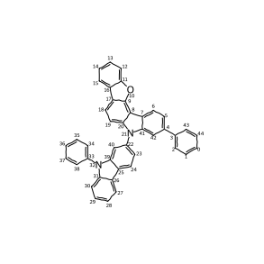 c1ccc(-c2ccc3c4c5oc6ccccc6c5ccc4n(-c4ccc5c6ccccc6n(-c6ccccc6)c5c4)c3c2)cc1